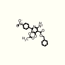 CC(=O)On1c(-c2ccc([N+](=O)[O-])cc2)nc(N)c(C(=O)OCc2ccccc2)c1=O